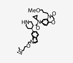 COCCCN1C(=O)COc2ccc(N(C(=O)[C@H]3CNCC[C@@H]3c3ccc4ccn(COCC[Si](C)(C)C)c4c3)C3CC3)cc21